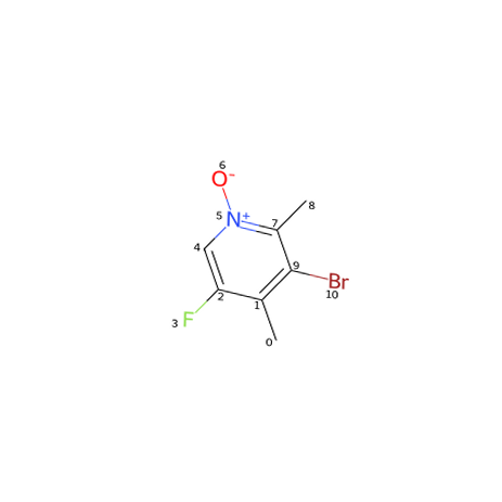 Cc1c(F)c[n+]([O-])c(C)c1Br